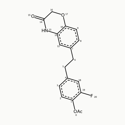 CC(=O)Oc1ccc(CCc2ccc3c(c2)NC(=O)CO3)cc1F